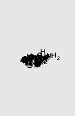 CNC(=O)NC(C)c1ccccc1-c1ccc(CN2Cc3ccccc3S[C@@H](NC(=O)C(C)(C)N)C2=O)cc1